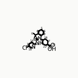 CC(C)c1ccccc1N(C(=O)Nc1ccc(Cl)cn1)C1CCC(C(=O)O)CC1